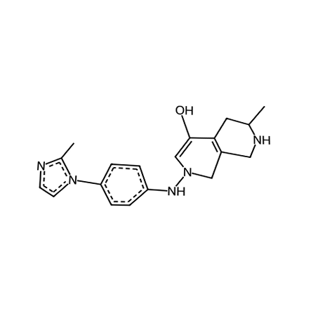 Cc1nccn1-c1ccc(NN2C=C(O)C3=C(CNC(C)C3)C2)cc1